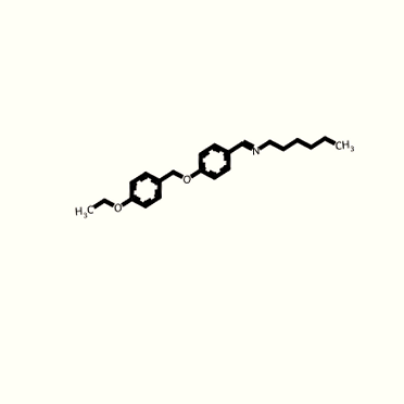 CCCCCCN=Cc1ccc(OCc2ccc(OCC)cc2)cc1